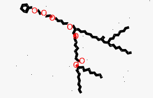 C=C(CCCCCCCCC(COCCCCCCCC(=O)OC(CCCCCCCC)CCCCCCCC)COCCCCCOCCOCCOCC1=CCCC=C1)CC(CCCCCCCC)CCCCCCCC